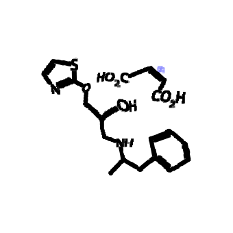 CC(Cc1ccccc1)NCC(O)COc1nccs1.O=C(O)/C=C\C(=O)O